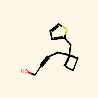 OCC#CCC1(Cc2cccs2)CCC1